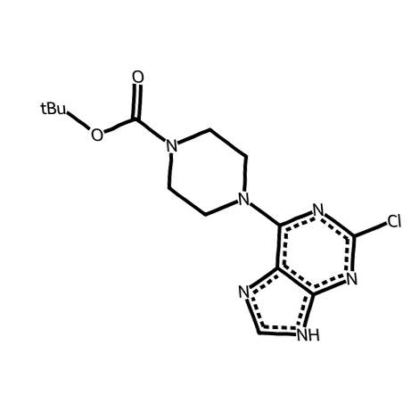 CC(C)(C)OC(=O)N1CCN(c2nc(Cl)nc3[nH]cnc23)CC1